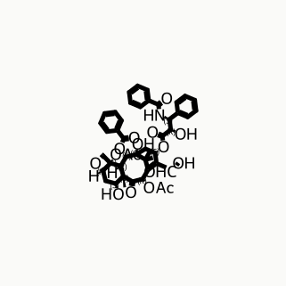 CC(=O)O[C@H]1C(=O)[C@@]2(C)[C@H]([C@H](OC(=O)c3ccccc3)[C@]3(O)C[C@H](OC(=O)[C@H](O)[C@@H](NC(=O)c4ccccc4)c4ccccc4)C(C)=C1C3(C)C)[C@]1(OC(C)=O)CO[C@@H]1C[C@@H]2O.O=CO